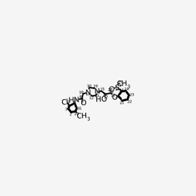 Cc1ccc(Cl)c(NC(=O)CN2CCN(CC(O)COc3ccccc3[S+](C)[O-])CC2)c1